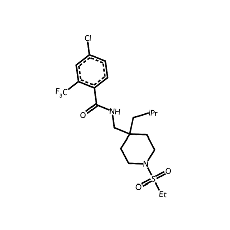 CCS(=O)(=O)N1CCC(CNC(=O)c2ccc(Cl)cc2C(F)(F)F)(CC(C)C)CC1